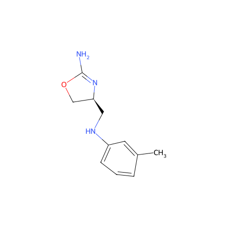 Cc1cccc(NC[C@H]2COC(N)=N2)c1